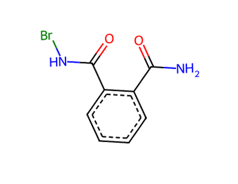 NC(=O)c1ccccc1C(=O)NBr